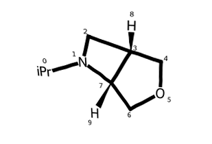 CC(C)N1C[C@@H]2COC[C@@H]21